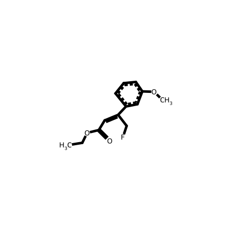 CCOC(=O)C=C(CF)c1cccc(OC)c1